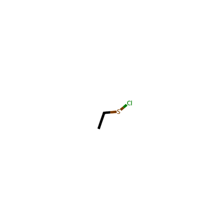 CCSCl